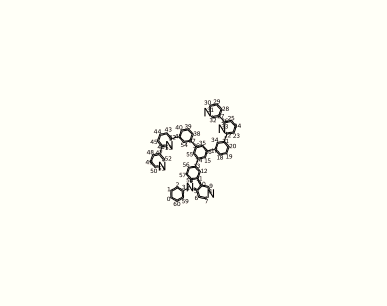 c1ccc(-n2c3ccncc3c3cc(-c4cc(-c5cccc(-c6cccc(-c7cccnc7)n6)c5)cc(-c5cccc(-c6cccc(-c7cccnc7)n6)c5)c4)ccc32)cc1